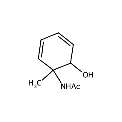 CC(=O)NC1(C)C=CC=CC1O